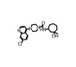 CC1(O)CCCCC(NC(=O)N2CCN(c3ccnc4cc(Cl)ccc34)CC2)C1